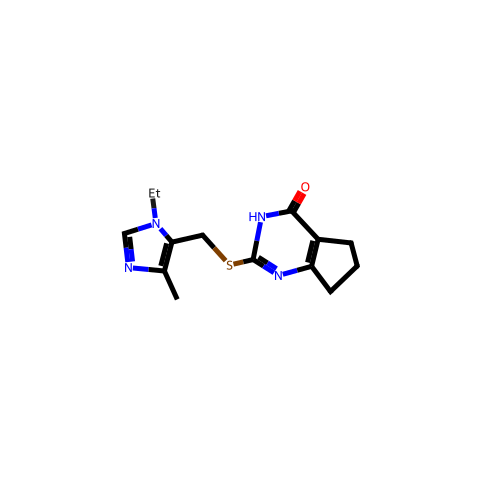 CCn1cnc(C)c1CSc1nc2c(c(=O)[nH]1)CCC2